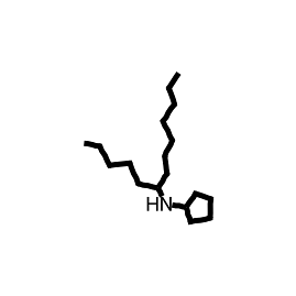 CCCCCCCC(CCCCC)NC1CCCC1